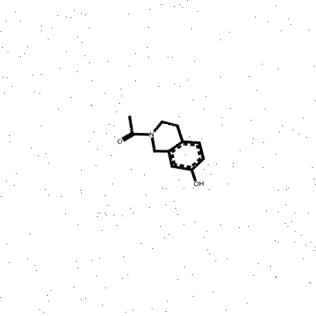 CC(=O)N1CCc2ccc(O)cc2C1